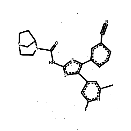 Cc1cc(-c2sc(NC(=O)N3CCN4CCC3C4)nc2-c2cccc(C#N)c2)cc(C)n1